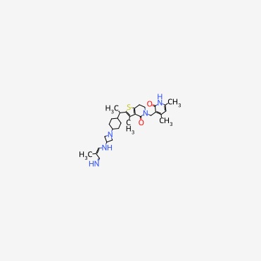 C/C(C=N)=C/NC1CN(C2CCC([C@@H](C)c3sc4c(c3C)C(=O)N(Cc3c(C)cc(C)[nH]c3=O)CC4)CC2)C1